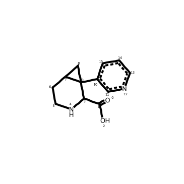 O=C(O)C1NCCC2CC21c1[c]nccc1